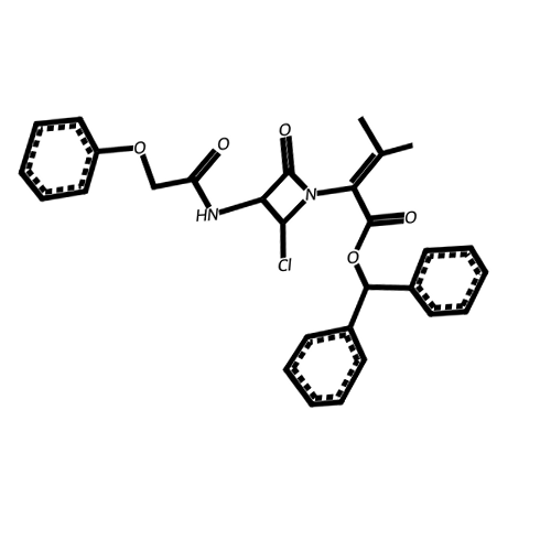 CC(C)=C(C(=O)OC(c1ccccc1)c1ccccc1)N1C(=O)C(NC(=O)COc2ccccc2)C1Cl